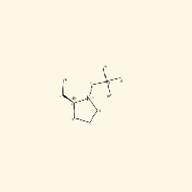 CC[C@@H]1CCCN1CC(C)(C)C